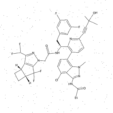 CCC(=O)Nc1nn(C)c2c(-c3ccc(C#CC(C)(C)O)nc3[C@H](Cc3cc(F)cc(F)c3)NC(=O)Cn3nc(C(F)F)c4c3C(F)(F)[C@@H]3CC[C@H]43)ccc(Cl)c12